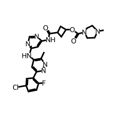 Cc1nnc(-c2cc(Cl)ccc2F)cc1Nc1cc(NC(=O)C2CC(OC(=O)N3CCN(C)CC3)C2)ncn1